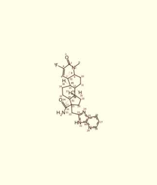 CN1C(=O)C(F)=C[C@@]2(C)C1CC[C@@H]1[C@H]2CC[C@@]2(C)[C@H]1CCC2(Cc1nc2cccnc2[nH]1)C(N)=O